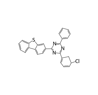 ClC1C=CC=C(c2nc(-c3ccccc3)nc(-c3ccc4c(c3)sc3ccccc34)n2)C1